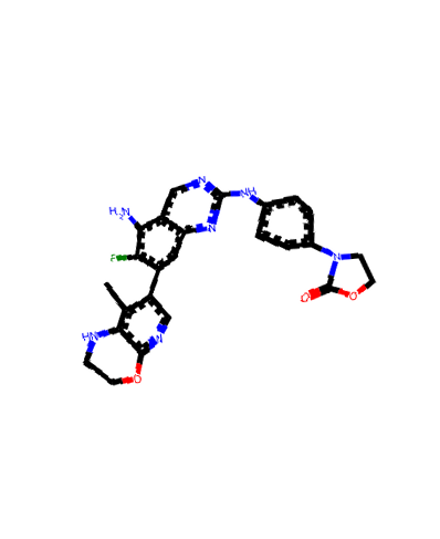 Cc1c(-c2cc3nc(Nc4ccc(N5CCOC5=O)cc4)ncc3c(N)c2F)cnc2c1NCCO2